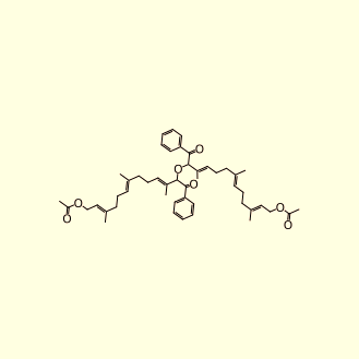 CC(=O)OCC=C(C)CCC=C(C)CCC=C(C)C(OC(C(=O)c1ccccc1)C(C)=CCCC(C)=CCCC(C)=CCOC(C)=O)C(=O)c1ccccc1